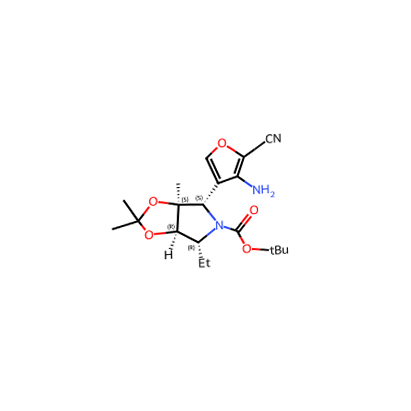 CC[C@@H]1[C@H]2OC(C)(C)O[C@@]2(C)[C@H](c2coc(C#N)c2N)N1C(=O)OC(C)(C)C